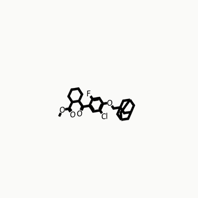 COC(=O)C1CCCCC1C(=O)c1cc(Cl)c(OCC23CC4CC(CC(C4)C2)C3)cc1F